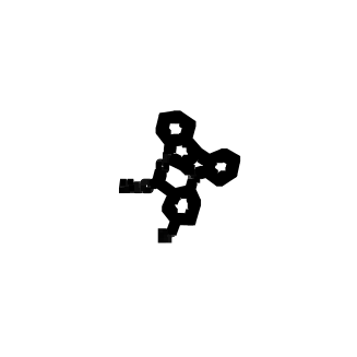 COC(=O)c1cc(Br)ccc1-n1c2ccccc2c2c3ccccc3sc21